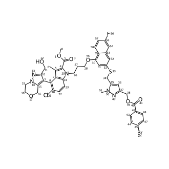 COC(=O)c1c(C)c2c(-c3c(CO)nn4c3COCC4)c(Cl)ccc2n1CCCOc1cc(SCc2cc(COC(=O)c3ccc(Br)cc3)nn2C)cc2cc(F)ccc12